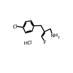 Cl.NCC(=CF)Cc1ccc(Cl)cc1